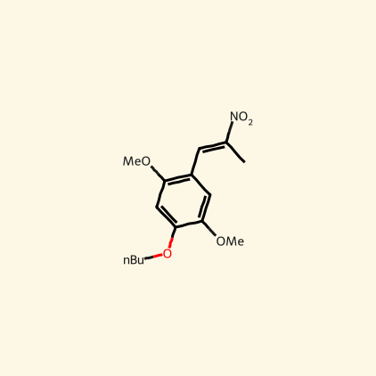 CCCCOc1cc(OC)c(/C=C(\C)[N+](=O)[O-])cc1OC